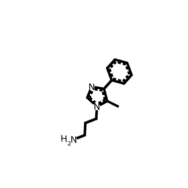 Cc1c(-c2ccccc2)ncn1CCCN